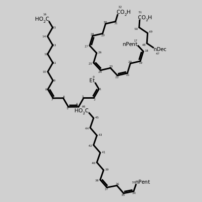 CC/C=C\C/C=C\C/C=C\CCCCCCCC(=O)O.CCCCC/C=C\C/C=C\C/C=C\C/C=C\CCCC(=O)O.CCCCC/C=C\C/C=C\CCCCCCCC(=O)O.CCCCCCCCCCCCCC(=O)O